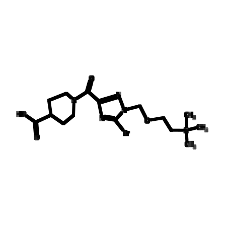 C[Si](C)(C)CCOCn1nc(C(=O)N2CCC(C(=O)O)CC2)nc1Br